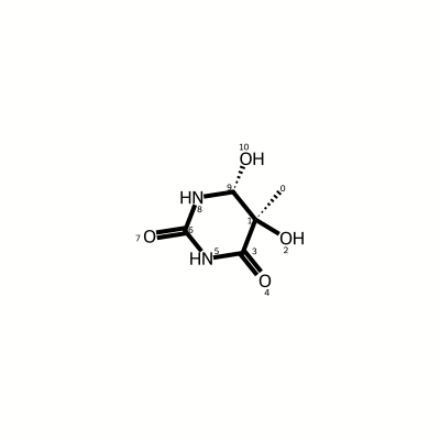 C[C@]1(O)C(=O)NC(=O)N[C@@H]1O